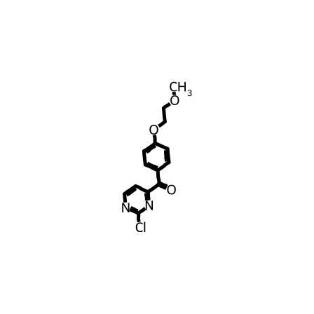 COCCOc1ccc(C(=O)c2ccnc(Cl)n2)cc1